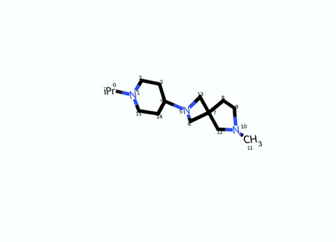 CC(C)N1CCC(N2CC3(CCN(C)C3)C2)CC1